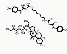 C[C@]12CC[C@@H](O)C[C@H]1CC[C@@H]1[C@@H]2C(=O)C[C@@]2(C)[C@H]1CC[C@]2(OC(=O)[C@H](O)[C@@H](O)[C@H](O)[C@H](O)CO)C(=O)CO.N=C(NCCCCCCNC(=N)NC(=N)Nc1ccc(Cl)cc1)NC(=N)Nc1ccc(Cl)cc1